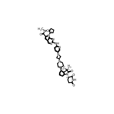 CN(C)C(=O)c1cc2cnc(Nc3ccc(N4CC(N5CCN(c6cccc7c6C(C)(C)C(=O)N7[C@H]6CCC(=O)NC6=O)CC5)C4)cn3)nc2n1C1CCCC1